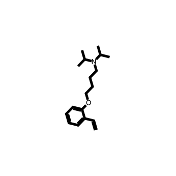 C=Cc1ccccc1OCCCCN(C(C)C)C(C)C